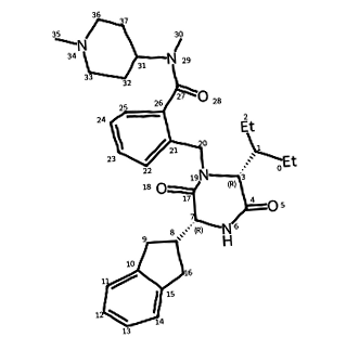 CCC(CC)[C@@H]1C(=O)N[C@H](C2Cc3ccccc3C2)C(=O)N1Cc1ccccc1C(=O)N(C)C1CCN(C)CC1